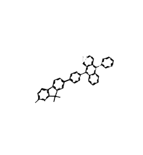 Cc1ccc2c(c1)C(C)(C)c1cc(-c3ccc(-c4c5ccccc5c(-c5ccccc5)c5ccncc45)cc3)ccc1-2